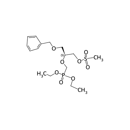 CCOP(=O)(CO[C@@H](COCc1ccccc1)COS(C)(=O)=O)OCC